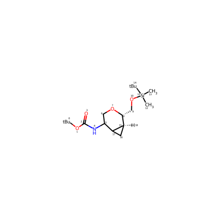 CC(C)(C)OC(=O)NC1CO[C@H](CO[Si](C)(C)C(C)(C)C)[C@H]2CC12